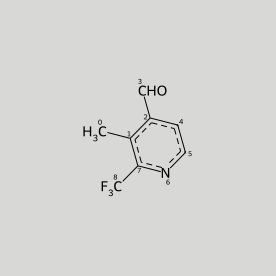 Cc1c(C=O)ccnc1C(F)(F)F